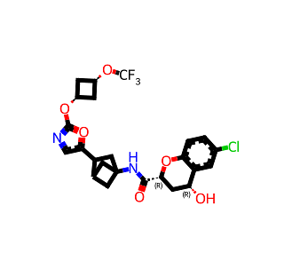 O=C(NC12CC(C1)C(c1cnc(O[C@H]3C[C@@H](OC(F)(F)F)C3)o1)C2)[C@H]1C[C@@H](O)c2cc(Cl)ccc2O1